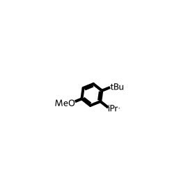 COc1ccc(C(C)(C)C)c([C](C)C)c1